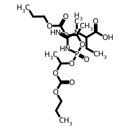 CCCOC(=O)OC(C)OP(=O)(NC(=N)N(C)C(CC)C(=O)O)OC(C)OC(=O)OCCC